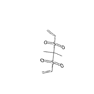 C=CS(=O)(=O)C(C)(C)S(=O)(=O)C=C